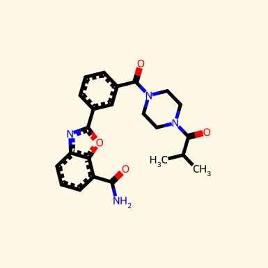 CC(C)C(=O)N1CCN(C(=O)c2cccc(-c3nc4cccc(C(N)=O)c4o3)c2)CC1